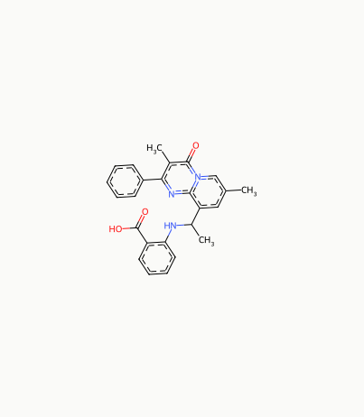 Cc1cc(C(C)Nc2ccccc2C(=O)O)c2nc(-c3ccccc3)c(C)c(=O)n2c1